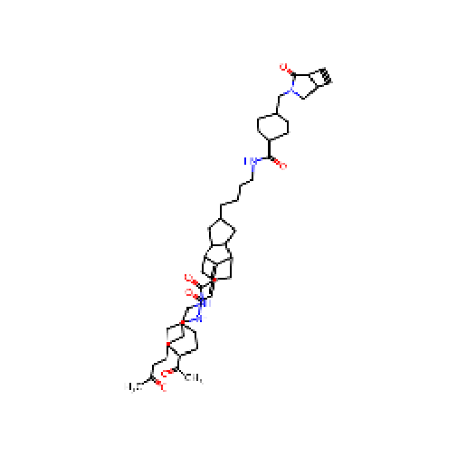 CC(=O)CCCCCNC(=O)C=C1CC2C(=CC(=O)NCC3CCC(C(C)=O)CC3)C(C1)C1CC(CCCCNC(=O)C3CCC(CN4CC5C#CC5C4=O)CC3)CC21